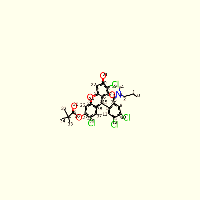 CCCN(C)C(=O)c1cc(Cl)c(Cl)cc1-c1c2cc(Cl)c(=O)cc-2oc2cc(OC(=O)C(C)(C)C)c(Cl)cc12